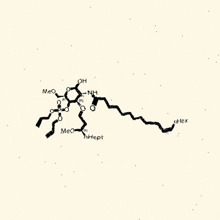 C=CCOP(=O)(OCC=C)OC1[C@@H](COC)OC(O)[C@H](NC(=O)CCCCCCCCC/C=C\CCCCCC)[C@H]1OCC[C@@H](CCCCCCC)OC